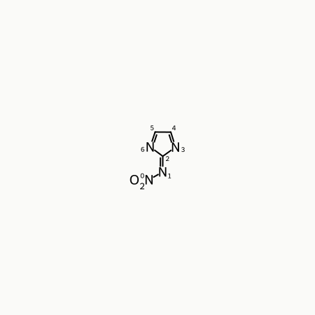 O=[N+]([O-])N=C1N=CC=N1